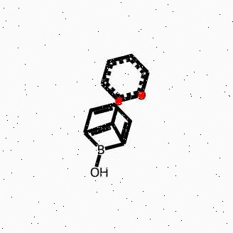 OB1C2=CC=CC1=C2B1Oc2ccc1cc2